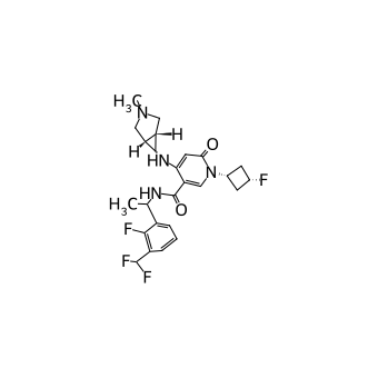 CC(NC(=O)c1cn([C@H]2C[C@@H](F)C2)c(=O)cc1N[C@@H]1[C@@H]2CN(C)C[C@@H]21)c1cccc(C(F)F)c1F